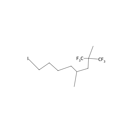 CC(CCCCI)CC(C)(C(F)(F)F)C(F)(F)F